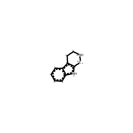 c1ccc2c3c([nH]c2c1)[11CH2]NCC3